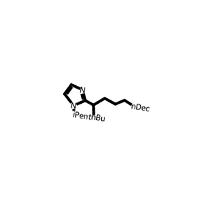 CCCCCCCCCCCCCC(CCCC)c1nccn1C(C)CCC